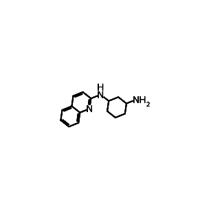 NC1CCCC(Nc2ccc3ccccc3n2)C1